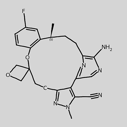 C[C@H]1CCc2nc(cnc2N)-c2c(nn(C)c2C#N)CCC2(COC2)Oc2ccc(F)cc21